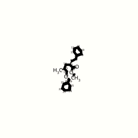 CCOC(=O)[C@H](CCc1ccccc1)C[C@@H](C)COCc1ccccc1